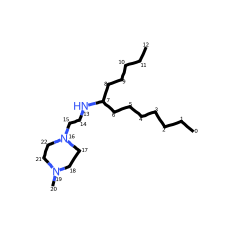 CCCCCCCC(CCCCC)NCCN1CCN(C)CC1